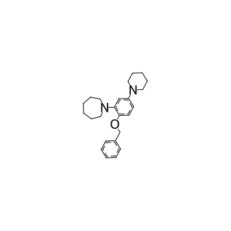 c1ccc(COc2ccc(N3CCCCC3)cc2N2CCCCCC2)cc1